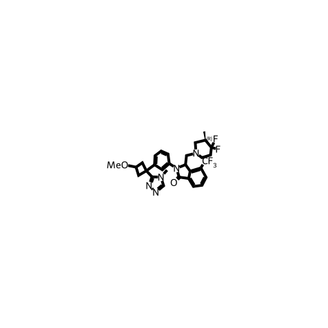 COC1CC(c2cccc(N3C(=O)c4cccc(C(F)(F)F)c4C3CN3CCC(F)(F)[C@H](C)C3)c2)(c2nncn2C)C1